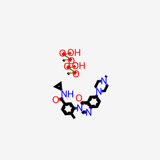 CS(=O)(=O)O.CS(=O)(=O)O.Cc1ccc(C(=O)NC2CC2)cc1-n1cnc2ccc(N3CCN(C)CC3)cc2c1=O